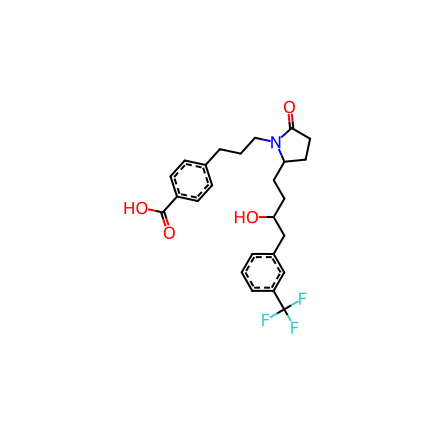 O=C(O)c1ccc(CCCN2C(=O)CCC2CCC(O)Cc2cccc(C(F)(F)F)c2)cc1